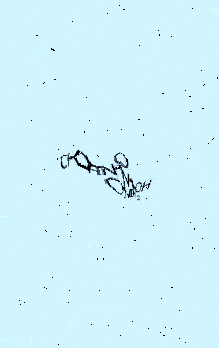 NC(=O)N(CC(=O)O)C(=O)NCc1ccc(Cl)cc1